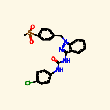 CS(=O)(=O)c1ccc(Cn2nc(NC(=O)Nc3ccc(Cl)cc3)c3ccccc32)cc1